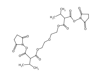 CC(C)C(C(=O)OCCOCCOC(=O)C(C(=O)ON1C(=O)CCC1=O)C(C)C)C(=O)ON1C(=O)CCC1=O